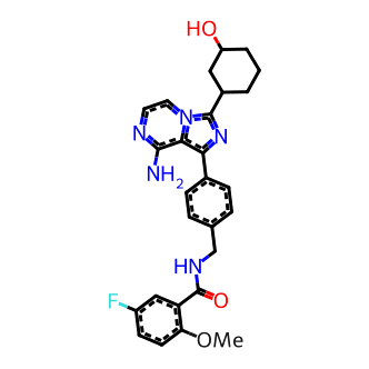 COc1ccc(F)cc1C(=O)NCc1ccc(-c2nc(C3CCCC(O)C3)n3ccnc(N)c23)cc1